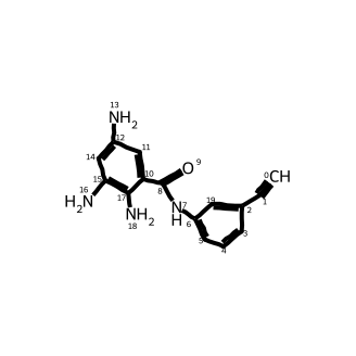 C#Cc1cccc(NC(=O)c2cc(N)cc(N)c2N)c1